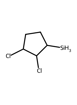 [SiH3]C1CCC(Cl)C1Cl